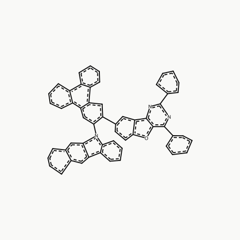 c1ccc(-c2nc(-c3ccccc3)c3oc4ccc(-c5cc6c7ccccc7c7ccccc7c6cc5-n5c6ccccc6c6cc7ccccc7cc65)cc4c3n2)cc1